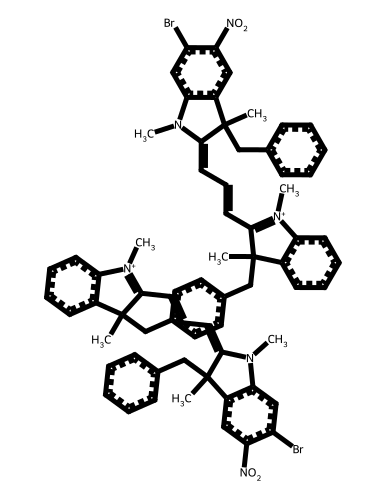 CN1/C(=C/C=C/C2=[N+](C)c3ccccc3C2(C)Cc2ccc(CC3(C)C(/C=C/C=C4/N(C)c5cc(Br)c([N+](=O)[O-])cc5C4(C)Cc4ccccc4)=[N+](C)c4ccccc43)cc2)C(C)(Cc2ccccc2)c2cc([N+](=O)[O-])c(Br)cc21